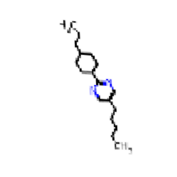 CCCCCc1cnc(C2CCC(CCC)CC2)nc1